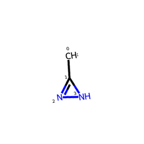 [CH]C1=NN1